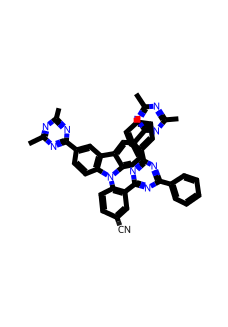 Cc1nc(C)nc(-c2ccc3c(c2)c2cc(-c4nc(C)nc(C)n4)ccc2n3-c2ccc(C#N)cc2-c2nc(-c3ccccc3)nc(-c3ccccc3)n2)n1